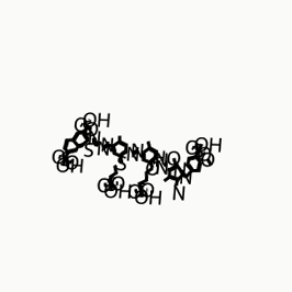 COc1cc2nc3c(C#N)c(C)c(N=Nc4cc(C)c(N=Nc5cc(C)c(N=Nc6nc7c(S(=O)(=O)O)cc8ccc(S(=O)(=O)O)cc8c7s6)cc5SCCCS(=O)(=O)O)cc4OCCCS(=O)(=O)O)c(O)n3c2cc1S(=O)(=O)O